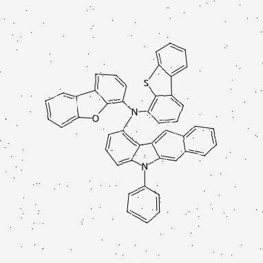 c1ccc(-n2c3cc4ccccc4cc3c3c(N(c4cccc5c4oc4ccccc45)c4cccc5c4sc4ccccc45)cccc32)cc1